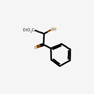 CCOC(=O)C(S)C(=S)c1ccccc1